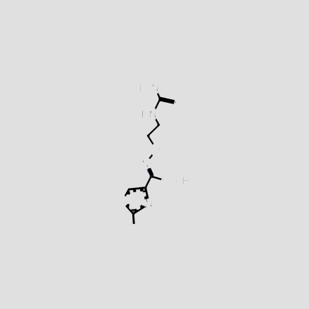 Cc1nc(/C(=N/OCCNC(N)=O)C(=O)O)cs1